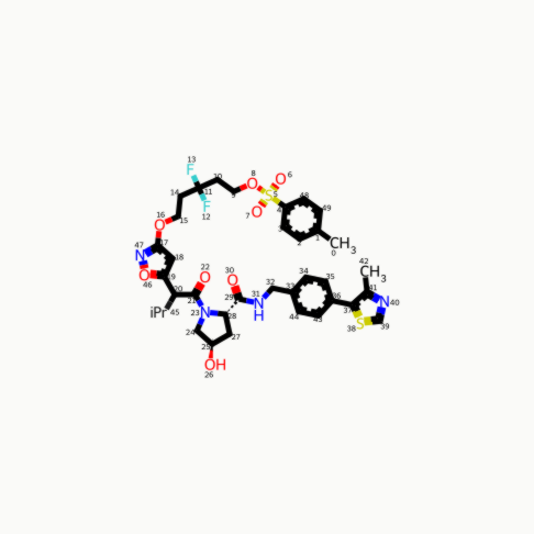 Cc1ccc(S(=O)(=O)OCCC(F)(F)CCOc2cc(C(C(=O)N3C[C@H](O)C[C@H]3C(=O)NCc3ccc(-c4scnc4C)cc3)C(C)C)on2)cc1